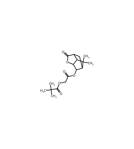 CC(C)(C)C(=O)OCC(=O)OC1C2OC(=O)C3CC1C(C)(C)C32